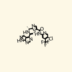 C=C(N[C@H](C)c1ncc(C(=O)Nc2cc(C(F)(F)F)c(Cl)cn2)s1)c1ncnc2[nH]ncc12